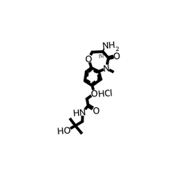 CN1C(=O)[C@@H](N)COc2ccc(OCC(=O)NCC(C)(C)O)cc21.Cl